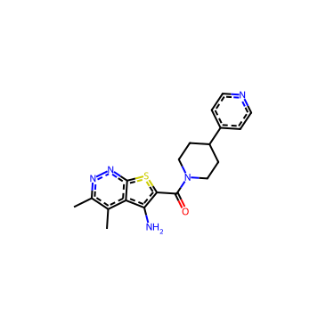 Cc1nnc2sc(C(=O)N3CCC(c4ccncc4)CC3)c(N)c2c1C